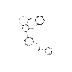 O=C(Nc1cc(-c2[nH]c3c(c2Nc2ccccc2)C(=O)CCC3)ccn1)c1cnco1